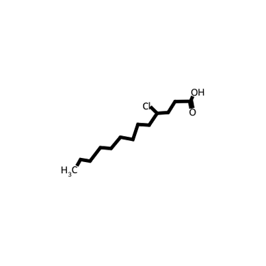 CCCCCCCCCC(Cl)CCC(=O)O